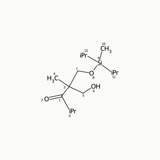 CC(C)C(=O)C(C)(CO)CO[Si](C)(C(C)C)C(C)C